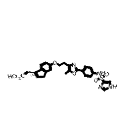 Cc1oc(-c2ccc(NS(=O)(=O)c3c[nH]cn3)cc2)nc1CCOc1ccc2c(c1)CC[C@H]2CC(=O)O